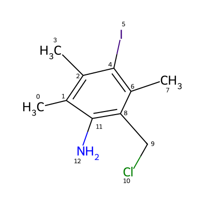 Cc1c(C)c(I)c(C)c(CCl)c1N